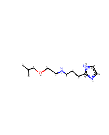 CC(C)COCCNCCCc1ncc[nH]1